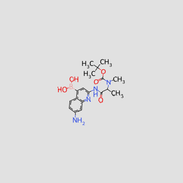 CC(C(=O)Nc1cc(B(O)O)c2ccc(N)cc2n1)N(C)C(=O)OC(C)(C)C